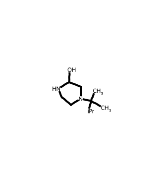 CC(C)C(C)(C)N1CCNC(O)C1